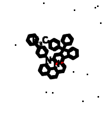 Cc1ccc(C2(c3ccccc3)c3ccccc3-c3ccc(N(c4ccc(-c5ccccc5)cc4)c4cccc5ccc6cccnc6c45)cc32)cc1